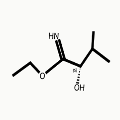 CCOC(=N)[C@@H](O)C(C)C